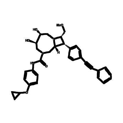 COC[C@@H]1[C@H](c2ccc(C#Cc3ccccc3)cc2)[C@@H]2CN(C(=O)Nc3ccc(OC4CC4)cc3)C[C@@H](O)[C@@H](O)CN12